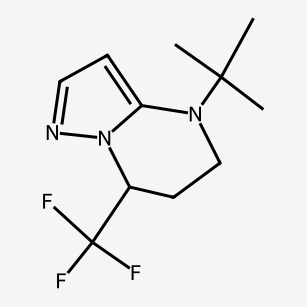 CC(C)(C)N1CCC(C(F)(F)F)n2nccc21